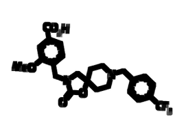 COc1cc(C(=O)O)ccc1CN1CC2(CCN(Cc3ccc(C(F)(F)F)cc3)CC2)OC1=O